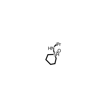 CC(C)N[SH]1(=O)CCCCC1